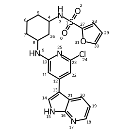 O=S(=O)(NC1CCCC(Nc2cc(-c3c[nH]c4ncccc34)cc(Cl)n2)C1)c1ccco1